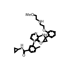 COCCNCCOc1ccccc1C1(Nc2nccn(-c3cc(C(=O)NC4CC4)ccc3C)c2=O)CC1